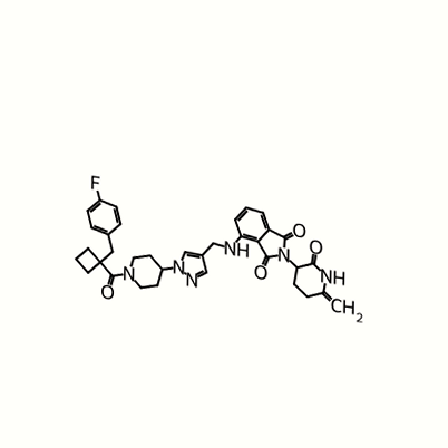 C=C1CCC(N2C(=O)c3cccc(NCc4cnn(C5CCN(C(=O)C6(Cc7ccc(F)cc7)CCC6)CC5)c4)c3C2=O)C(=O)N1